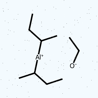 CC[CH](C)[Al+][CH](C)CC.CC[O-]